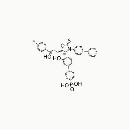 O=P(O)(O)c1ccc(-c2ccc([C@@H]3[C@@H](CC[C@H](O)c4ccc(F)cc4)OC(=S)N3c3ccc(-c4ccccc4)cc3)c(O)c2)cc1